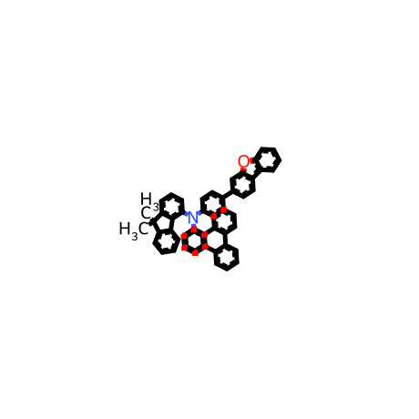 CC1(C)c2ccccc2-c2c(N(c3ccc(-c4ccc5c(c4)oc4ccccc45)cc3)c3ccccc3-c3ccccc3-c3ccccc3-c3ccccc3)cccc21